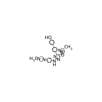 CCCN1c2cc(-c3ccc(O)cc3)ccc2-c2nc(Nc3ccc(N4CCN(C)CC4)cc3)ncc2S1(=O)=O